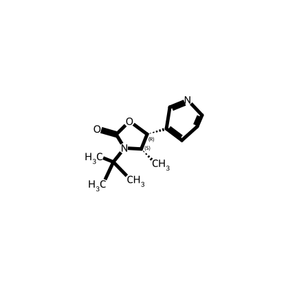 C[C@H]1[C@@H](c2cccnc2)OC(=O)N1C(C)(C)C